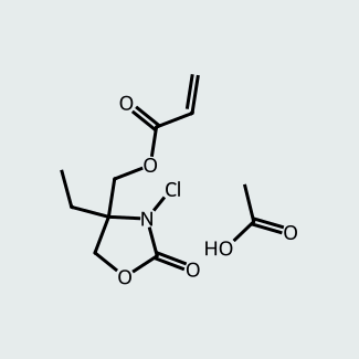 C=CC(=O)OCC1(CC)COC(=O)N1Cl.CC(=O)O